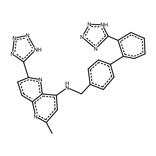 Cc1cc(NCc2ccc(-c3ccccc3-c3nnn[nH]3)cc2)c2nc(-c3nnn[nH]3)ccc2n1